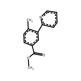 COC(=O)c1ccc(C)c(-c2ccccn2)c1